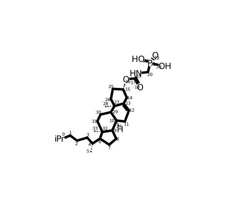 CC(C)CCC[C@@H](C)C1CCC2[C@@H]3CC=C4C[C@@H](OC(=O)NCP(=O)(O)O)CC[C@]4(C)C3CC[C@@]21C